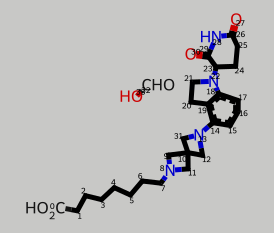 O=C(O)CCCCCCCN1CC2(C1)CN(c1cccc3c1CCN3C1CCC(=O)NC1=O)C2.O=CO